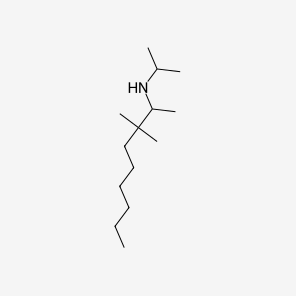 CCCCCCC(C)(C)C(C)NC(C)C